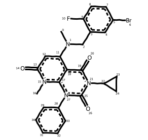 CN(Cc1cc(Br)ccc1F)c1cc(=O)n(C)c2c1c(=O)n(C1CC1)c(=O)n2-c1ccccc1